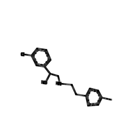 Cc1ccc(CCNCC(O)c2cccc(Cl)c2)cc1